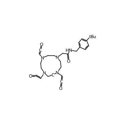 CC(C)(C)c1ccc(CNC(=O)CN2CCN(C=C=O)CCN(C=C=O)CCN(C=C=O)CC2)cc1